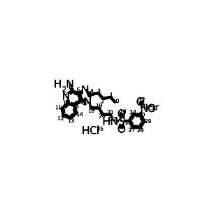 CCCCc1nc2c(N)nc3ccccc3c2n1CCCCNS(=O)(=O)c1cccc([N+](=O)[O-])c1.Cl